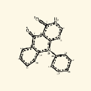 O=c1[nH]cnc2c1c(=O)c1ccccc1n2-c1ccccc1